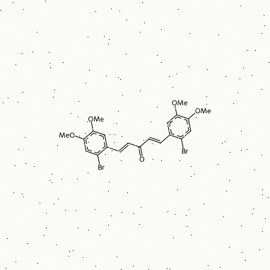 COc1cc(Br)c(C=CC(=O)C=Cc2cc(OC)c(OC)cc2Br)cc1OC